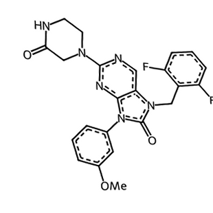 COc1cccc(-n2c(=O)n(Cc3c(F)cccc3F)c3cnc(N4CCNC(=O)C4)nc32)c1